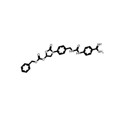 N=C(N)c1ccc(NC(=O)NCc2ccc(N3CC(OC(=O)OCc4ccccc4)OC3=O)cc2)cc1